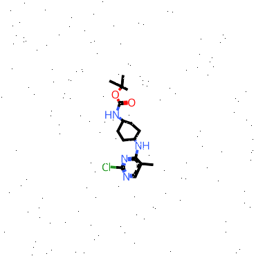 Cc1cnc(Cl)nc1NC1CCC(NC(=O)OC(C)(C)C)CC1